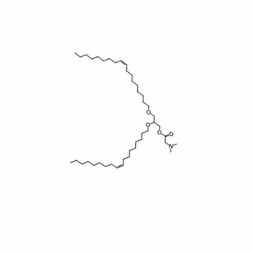 CCCCCCCC/C=C\CCCCCCCCOCC(COC(=O)CN(C)C)OCCCCCCCC/C=C\CCCCCCCC